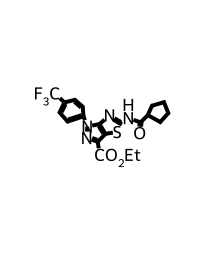 CCOC(=O)c1nn(-c2ccc(C(F)(F)F)cc2)c2nc(NC(=O)C3CCCC3)sc12